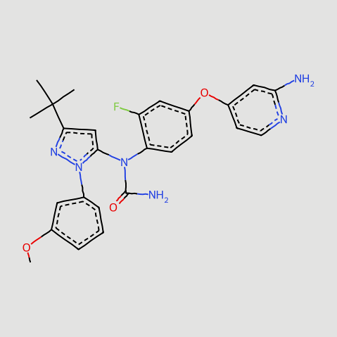 COc1cccc(-n2nc(C(C)(C)C)cc2N(C(N)=O)c2ccc(Oc3ccnc(N)c3)cc2F)c1